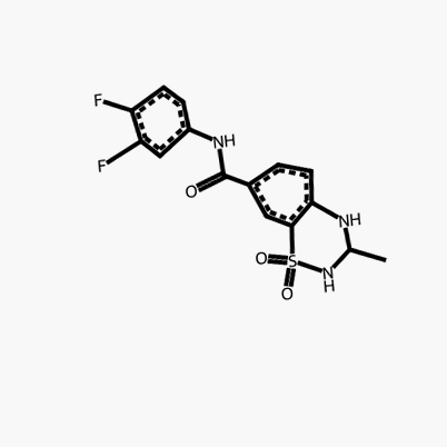 CC1Nc2ccc(C(=O)Nc3ccc(F)c(F)c3)cc2S(=O)(=O)N1